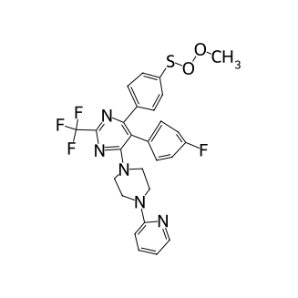 COOSc1ccc(-c2nc(C(F)(F)F)nc(N3CCN(c4ccccn4)CC3)c2-c2ccc(F)cc2)cc1